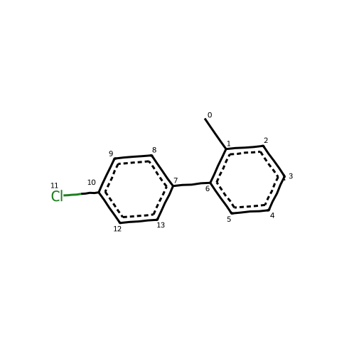 Cc1c[c]ccc1-c1ccc(Cl)cc1